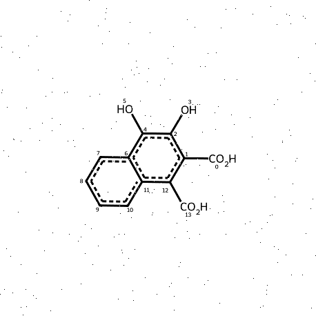 O=C(O)c1c(O)c(O)c2ccccc2c1C(=O)O